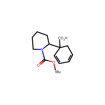 CC(C)(C)OC(=O)N1CCCCC1C1(C(=O)O)C=CC=CC1